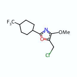 COc1nc(C2CCC(C(F)(F)F)CC2)oc1CCl